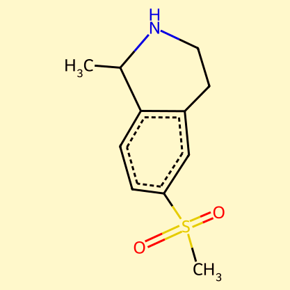 CC1NCCc2cc(S(C)(=O)=O)ccc21